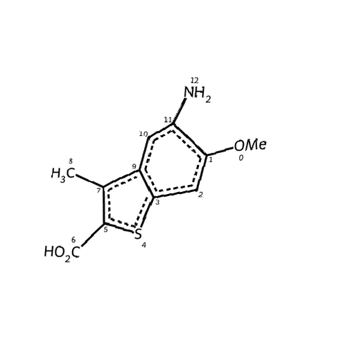 COc1cc2sc(C(=O)O)c(C)c2cc1N